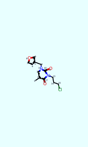 Cc1cn(Cc2ccoc2)c(=O)n(CCCCl)c1=O